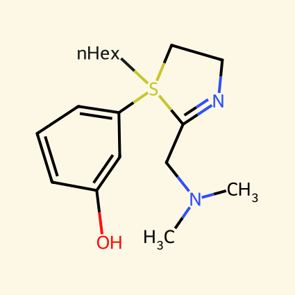 CCCCCCS1(c2cccc(O)c2)CCN=C1CN(C)C